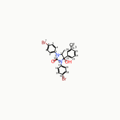 CC1N(c2ccc(Br)cc2)C(=O)N(c2ccc(Br)cc2)C1(O)c1cccc(C(F)(F)F)c1